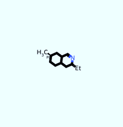 CCC1CC2CC[C@@H](C)CC2C=N1